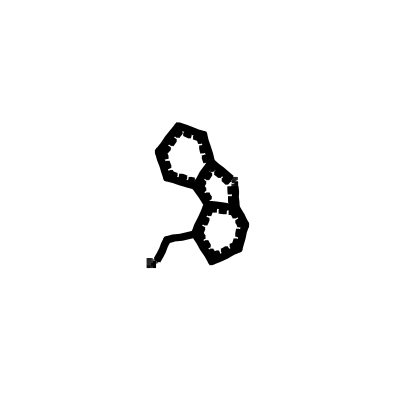 BrCc1cccc2sc3ccccc3c12